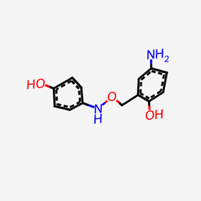 Nc1ccc(O)c(CONc2ccc(O)cc2)c1